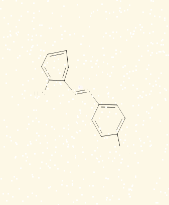 Nc1ccccc1/N=N/c1ccc(C(=O)O)cc1